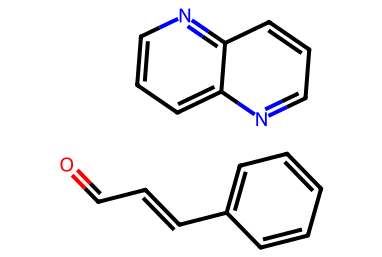 O=CC=Cc1ccccc1.c1cnc2cccnc2c1